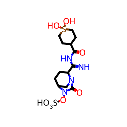 N=C(NC(=O)C1CCS(O)(O)CC1)C1CCC2CN1C(=O)N2OS(=O)(=O)O